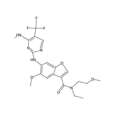 CCN(CCOC)C(=O)c1coc2cc(Nc3ncc(C(F)(F)F)c(NC)n3)c(OC)cc12